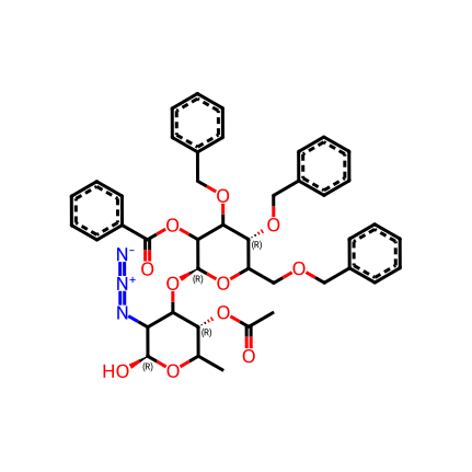 CC(=O)O[C@@H]1C(C)O[C@@H](O)C(N=[N+]=[N-])C1O[C@@H]1OC(COCc2ccccc2)[C@@H](OCc2ccccc2)C(OCc2ccccc2)C1OC(=O)c1ccccc1